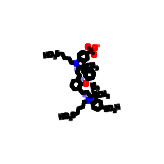 CC1(C)C(/C=C/C2=C(Oc3ccccc3)C(=C/C=C3/N(CCCCS(=O)(=O)O)c4ccc(S(=O)(=O)[O-])cc4C3(C)C)/CCC2)=[N+](CCCCS(=O)(=O)O)c2ccc(S(=O)(=O)O)cc21